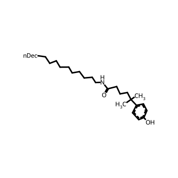 CCCCCCCCCCCCCCCCCCCCNC(=O)CCCC(C)(C)c1ccc(O)cc1